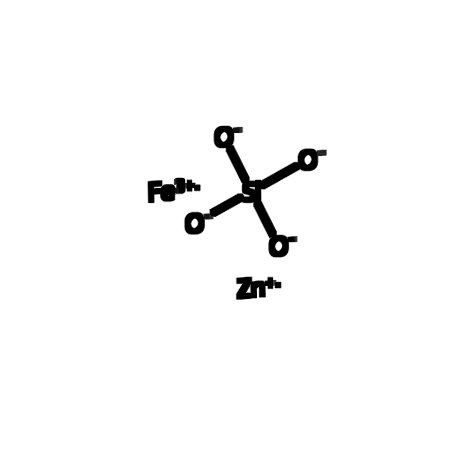 [Fe+3].[O-][Si]([O-])([O-])[O-].[Zn+]